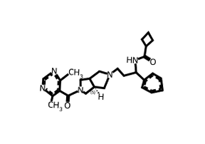 Cc1ncnc(C)c1C(=O)N1CC2CN(CCC(NC(=O)C3CCC3)c3ccccc3)C[C@H]2C1